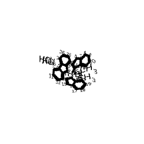 C[SiH](C)[Hf]([CH]1C=Cc2ccccc21)([CH]1C=Cc2ccccc21)[CH]1c2ccccc2-c2ccccc21.Cl.Cl